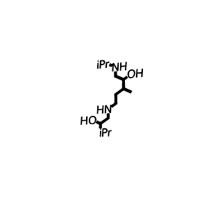 CC(C)NCC(O)C(C)CCNCC(O)C(C)C